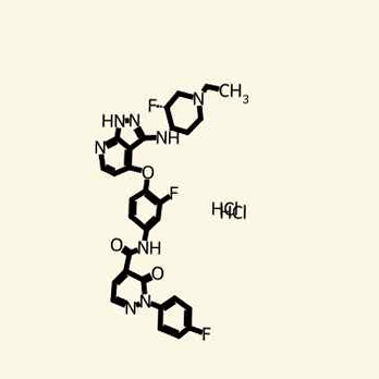 CCN1CC[C@H](Nc2n[nH]c3nccc(Oc4ccc(NC(=O)c5ccnn(-c6ccc(F)cc6)c5=O)cc4F)c23)[C@H](F)C1.Cl.Cl